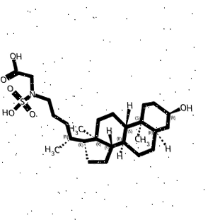 C[C@H](CCCN(CC(=O)O)S(=O)(=O)O)[C@H]1CC[C@H]2[C@@H]3CC[C@@H]4C[C@H](O)CC[C@]4(C)[C@H]3CC[C@]12C